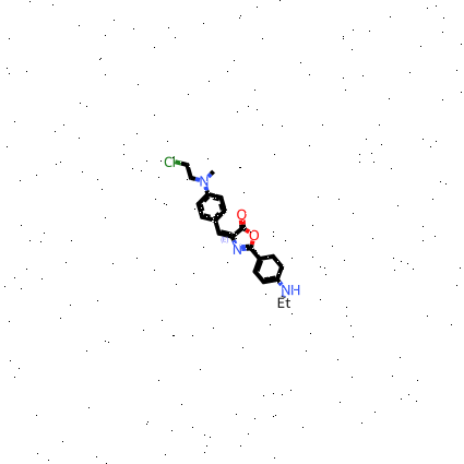 CCNC1=CC=C(C2=N/C(=C/c3ccc(N(C)CCCl)cc3)C(=O)O2)CC1